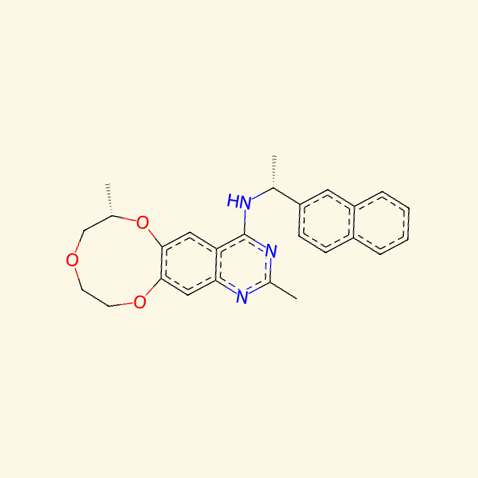 Cc1nc(N[C@H](C)c2ccc3ccccc3c2)c2cc3c(cc2n1)OCCOC[C@H](C)O3